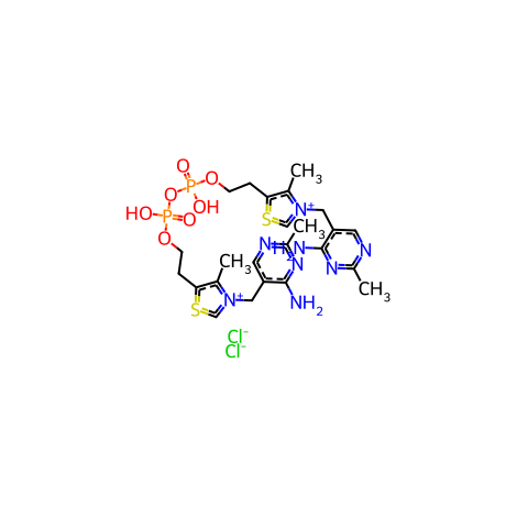 Cc1ncc(C[n+]2csc(CCOP(=O)(O)OP(=O)(O)OCCc3sc[n+](Cc4cnc(C)nc4N)c3C)c2C)c(N)n1.[Cl-].[Cl-]